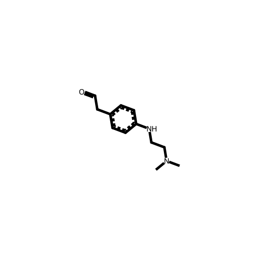 CN(C)CCNc1ccc(CC=O)cc1